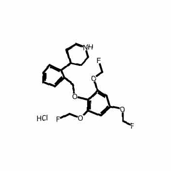 Cl.FCOc1cc(OCF)c(OCc2ccccc2C2CCNCC2)c(OCF)c1